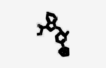 COC(=O)c1cn(Cc2ccc(N3CC4C5C4C53)nc2C)c2ncncc12